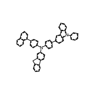 c1ccc(-n2c3ccccc3c3cc(-c4ccc(N(c5ccc(-c6cccc7ccccc67)cc5)c5ccc6c(c5)Cc5ccccc5-6)cc4)ccc32)cc1